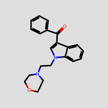 O=C(c1ccccc1)c1cn(CCN2CCOCC2)c2ccccc12